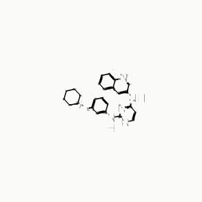 c1cc(Nc2nccc(Nc3cnc4ccccc4c3)n2)cc(OC2CCCCC2)c1